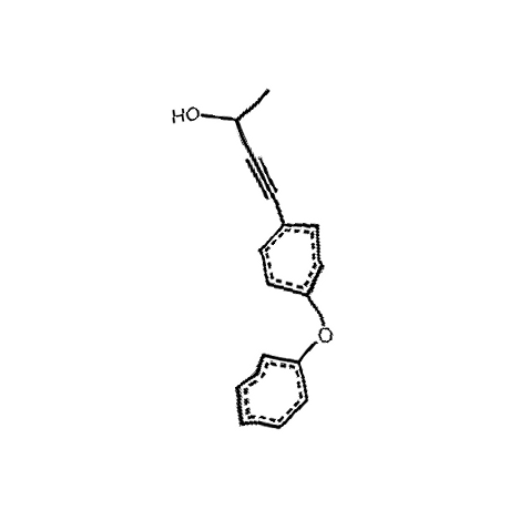 CC(O)C#Cc1ccc(Oc2ccccc2)cc1